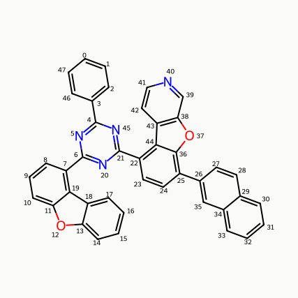 c1ccc(-c2nc(-c3cccc4oc5ccccc5c34)nc(-c3ccc(-c4ccc5ccccc5c4)c4oc5cnccc5c34)n2)cc1